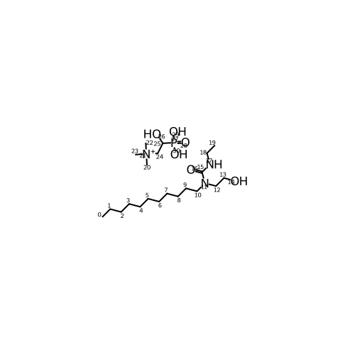 CCCCCCCCCCCN(CCO)C(=O)NCC.C[N+](C)(C)CC(O)P(=O)(O)O